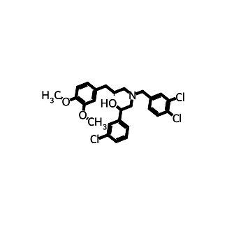 COc1ccc(C[CH]CN(Cc2ccc(Cl)c(Cl)c2)CC(O)c2cccc(Cl)c2)cc1OC